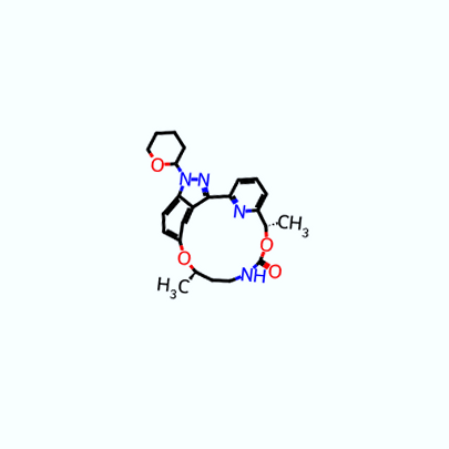 C[C@@H]1CCNC(=O)O[C@@H](C)c2cccc(n2)-c2nn(C3CCCCO3)c3ccc(cc23)O1